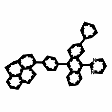 c1ccc(-c2ccc3c(-c4ccc(-c5ccc6ccc7cccc8ccc5c6c78)cc4)c4ccccc4c(-c4ncccn4)c3c2)cc1